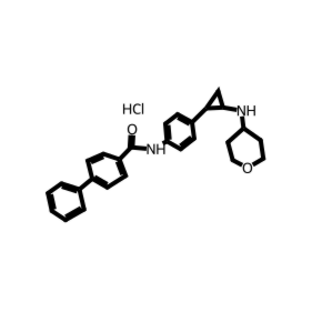 Cl.O=C(Nc1ccc(C2CC2NC2CCOCC2)cc1)c1ccc(-c2ccccc2)cc1